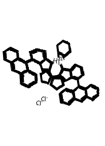 C1=C(C2CCCC2)[CH]([Hf+2]2([CH]3C(C4CCCC4)=Cc4c(-c5c6ccccc6cc6ccccc56)cccc43)[CH]3CCCC[CH]32)c2cccc(-c3c4ccccc4cc4ccccc34)c21.[Cl-].[Cl-]